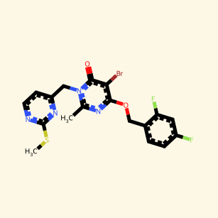 CSc1nccc(Cn2c(C)nc(OCc3ccc(F)cc3F)c(Br)c2=O)n1